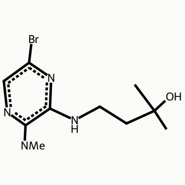 CNc1ncc(Br)nc1NCCC(C)(C)O